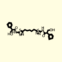 O=C(Nc1nnc(CCCCCc2nnc(NC(=O)C(CO)c3ccccc3)s2)s1)C(CO)c1ccccc1